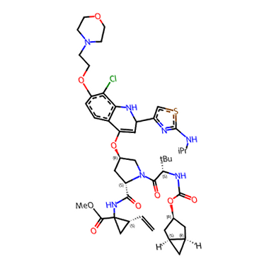 C=C[C@@H]1CC1(NC(=O)[C@@H]1C[C@@H](OC2=CC(c3csc(NC(C)C)n3)Nc3c2ccc(OCCN2CCOCC2)c3Cl)CN1C(=O)[C@@H](NC(=O)O[C@@H]1C[C@@H]2C[C@@H]2C1)C(C)(C)C)C(=O)OC